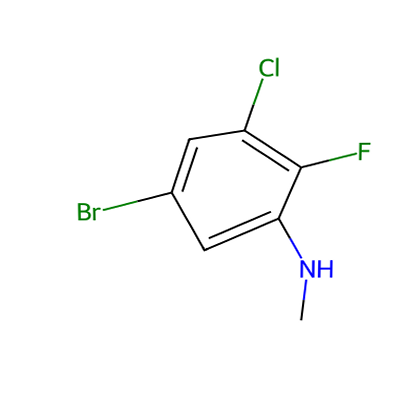 CNc1cc(Br)cc(Cl)c1F